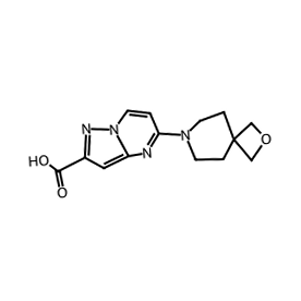 O=C(O)c1cc2nc(N3CCC4(CC3)COC4)ccn2n1